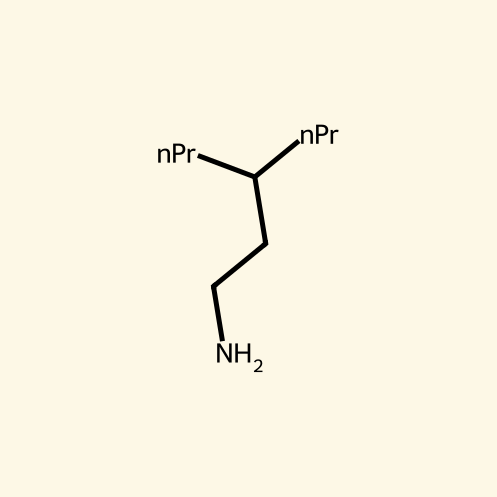 CCCC(CCC)CCN